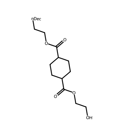 CCCCCCCCCCCCOC(=O)C1CCC(C(=O)OCCO)CC1